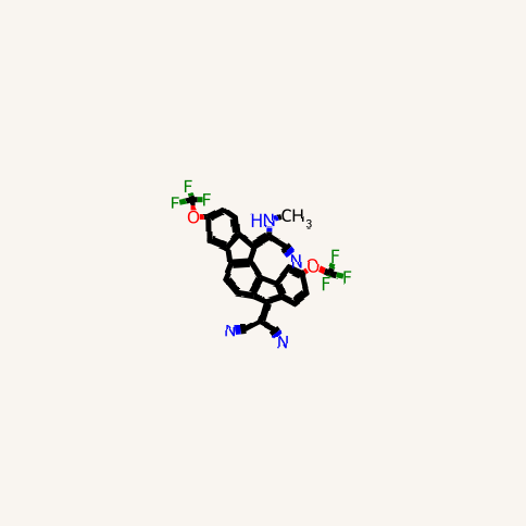 CN/C(C#N)=C1\c2ccc(OC(F)(F)F)cc2-c2ccc3c(c21)-c1cc(OC(F)(F)F)ccc1C3=C(C#N)C#N